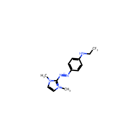 Cn1cc[n+](C)c1/N=N/c1ccc(NCC(F)(F)F)cc1